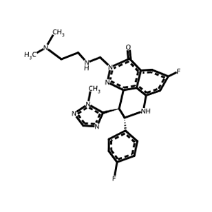 CN(C)CCNCn1nc2c3c(cc(F)cc3c1=O)N[C@H](c1ccc(F)cc1)[C@H]2c1ncnn1C